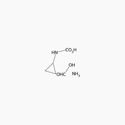 N.O=C(O)NC1CC1.O=CO